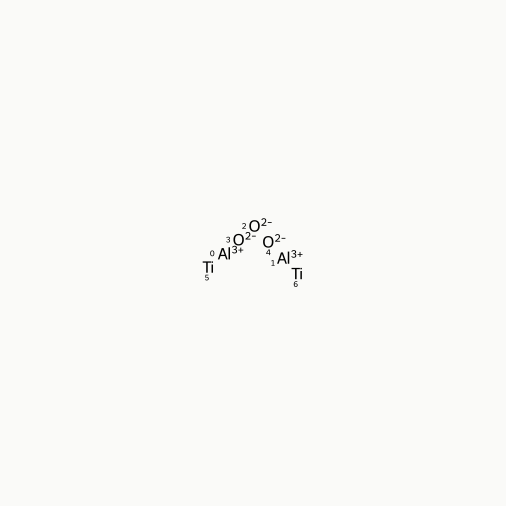 [Al+3].[Al+3].[O-2].[O-2].[O-2].[Ti].[Ti]